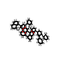 c1ccc(-c2ccc(-c3ccc(N(c4ccccc4-c4ccc5c(c4)-c4cccc6cccc(c46)O5)c4ccccc4-c4cccc5cccc(-c6ccccc6)c45)cc3)cc2-c2ccccc2)cc1